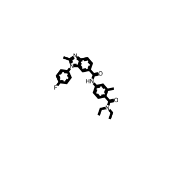 CCN(CC)C(=O)c1ccc(NC(=O)c2ccc3nc(C)n(-c4ccc(F)cc4)c3c2)cc1C